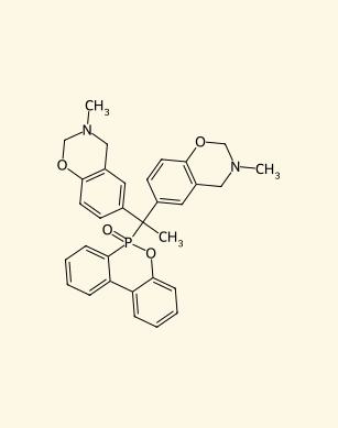 CN1COc2ccc(C(C)(c3ccc4c(c3)CN(C)CO4)P3(=O)Oc4ccccc4-c4ccccc43)cc2C1